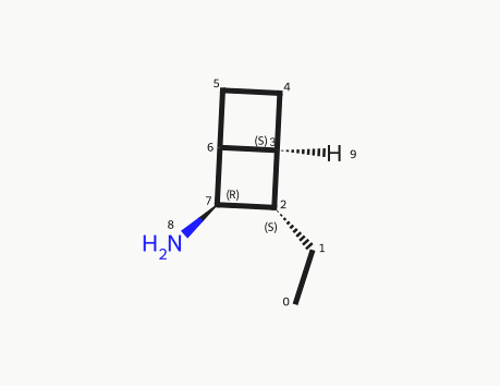 CC[C@H]1[C@@H]2CCC2[C@@H]1N